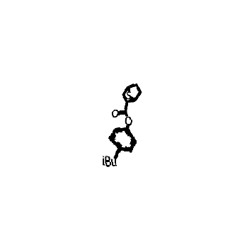 CCC(C)c1ccc(OC(=O)C2CC3CCC2S3)cc1